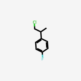 CC(CCl)c1ccc(F)cc1